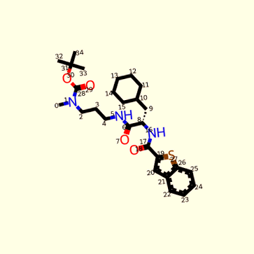 CN(CCCNC(=O)[C@H](CC1CCCCC1)NC(=O)c1cc2ccccc2s1)C(=O)OC(C)(C)C